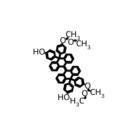 CCOC(C)Oc1ccc(C2(c3ccc(O)cc3)c3ccccc3C(=C3c4ccccc4C(c4ccc(O)cc4)(c4ccc(OC(C)OCC)cc4)c4ccccc43)c3ccccc32)cc1